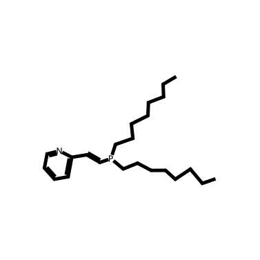 CCCCCCCCP(C=Cc1ccccn1)CCCCCCCC